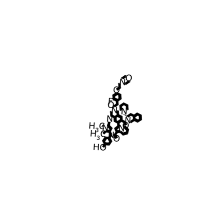 Cc1c(N(C(=O)c2cc(-c3cc4c(cc3C(=O)N3Cc5ccccc5C[C@H]3CN3CCCCC3)CN(C(=O)Cc3ccc(OCCN5CCOCC5)cc3F)CC4)n3ccccc23)c2ccc(O)cc2)cc(C#N)n1C